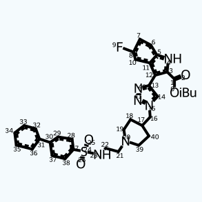 CC(C)COC(=O)c1[nH]c2ccc(F)cc2c1-c1cn(CC2CCN(CCNS(=O)(=O)c3ccc(-c4ccccc4)cc3)CC2)nn1